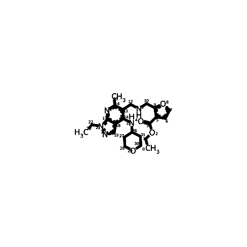 CCOC(=O)c1ccoc1CNCc1c(C)nc2c(cnn2CC)c1NC1CCOCC1